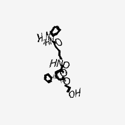 Nc1ccccc1NC(=O)CCCCNC(=O)C1=C[C@@H](c2ccccc2)C[C@@H](OCCCO)O1